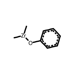 [CH3][Zr]([CH3])[O]c1ccccc1